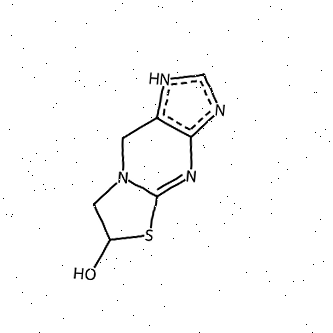 OC1CN2Cc3[nH]cnc3N=C2S1